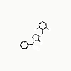 C[C@@H](c1ccccc1)N1CC[C@@H](Cc2c(F)cccc2F)C1=O